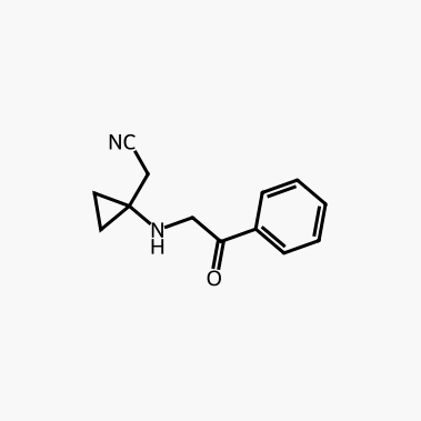 N#CCC1(NCC(=O)c2ccccc2)CC1